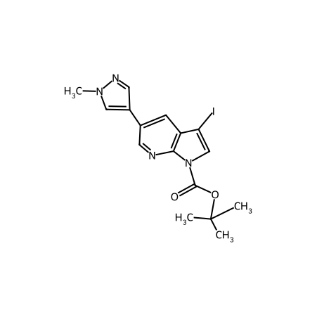 Cn1cc(-c2cnc3c(c2)c(I)cn3C(=O)OC(C)(C)C)cn1